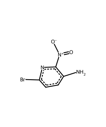 Nc1ccc(Br)nc1[N+](=O)[O-]